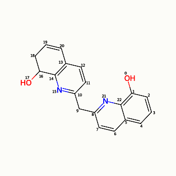 Oc1cccc2ccc(Cc3ccc4c(n3)C(O)CC=C4)nc12